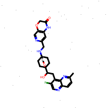 Cc1ccc2ncc(F)c(CC(O)C34CCC(NCc5cc6c(cn5)OCC(=O)N6)(CC3)CO4)c2n1